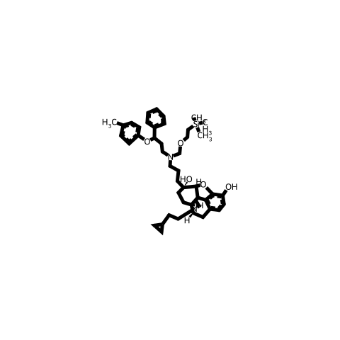 Cc1ccc(OC(CCN(CCC[C@]2(O)CC[C@@]3(O)[C@H]4Cc5ccc(O)c6c5[C@@]3(CCN4CCC3CC3)[C@H]2O6)COCC[Si](C)(C)C)c2ccccc2)cc1